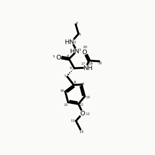 CCNNC(=O)[C@@H](Cc1ccc(OCC)cc1)NC(C)=O